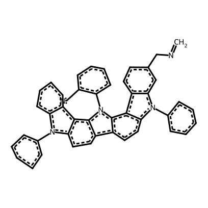 C=NCc1ccc2c3c(ccc4c5ccc6c(c7ccccc7n6-c6ccccc6)c5n(-c5ccccc5C#N)c43)n(-c3ccccc3)c2c1